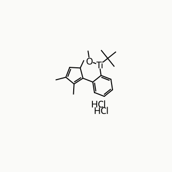 C[O][Ti]([c]1ccccc1C1=C(C)C(C)=CC1C)[C](C)(C)C.Cl.Cl